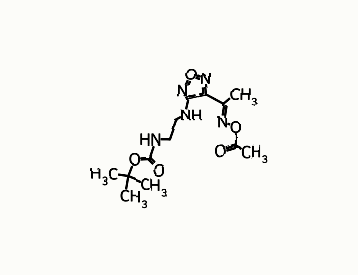 CC(=O)O/N=C(\C)c1nonc1NCCNC(=O)OC(C)(C)C